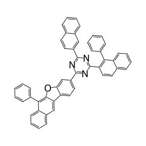 c1ccc(-c2c(-c3nc(-c4ccc5ccccc5c4)nc(-c4ccc5c(c4)oc4c(-c6ccccc6)c6ccccc6cc45)n3)ccc3ccccc23)cc1